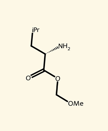 COCOC(=O)[C@@H](N)CC(C)C